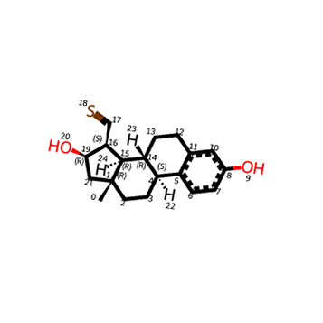 C[C@]12CC[C@@H]3c4ccc(O)cc4CC[C@H]3[C@@H]1[C@H](C=S)[C@H](O)C2